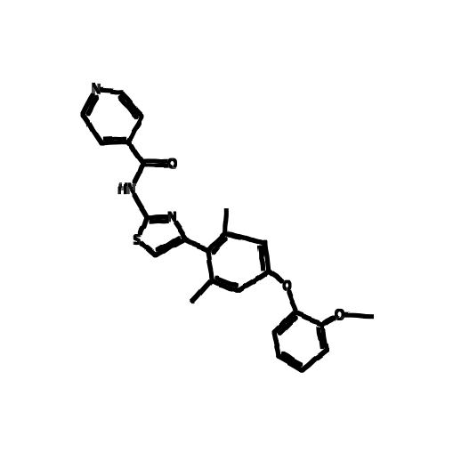 COc1ccccc1Oc1cc(C)c(-c2csc(NC(=O)c3ccncc3)n2)c(C)c1